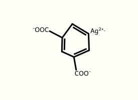 O=C([O-])c1cccc(C(=O)[O-])c1.[Ag+2]